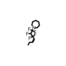 CC/C=C\C(F)(F)C(F)C(F)(F)N1CCCCCC1